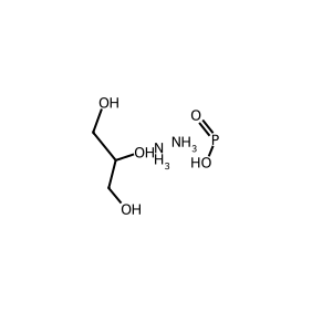 N.N.O=PO.OCC(O)CO